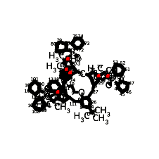 CC(C)(C)c1cc2c(OCCP(=O)(c3ccccc3)c3ccccc3)c(c1)Cc1cc(C(C)(C)C)cc(c1OCCP(=O)(c1ccccc1)c1ccccc1)Cc1cc(C(C)(C)C)cc(c1OCCP(=O)(c1ccccc1)c1ccccc1)Cc1cc(C(C)(C)C)cc(c1OCCP(=O)(c1ccccc1)c1ccccc1)C2